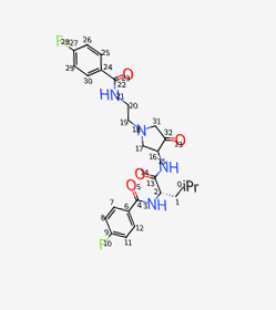 CC(C)C[C@H](NC(=O)c1ccc(F)cc1)C(=O)NC1CN(CCNC(=O)c2ccc(F)cc2)CC1=O